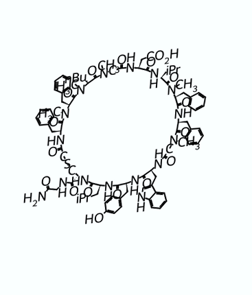 CCCC[C@H]1C(=O)N(C)CC(=O)N[C@@H](CC(=O)O)C(=O)N[C@@H](C(C)C)C(=O)N(C)[C@@H](Cc2ccccc2)C(=O)N[C@@H](Cc2ccccc2)C(=O)N(C)CC(=O)N[C@@H](Cc2c[nH]c3ccccc23)C(=O)N[C@@H](Cc2ccc(O)cc2)C(=O)N[C@@H](CC(C)C)C(=O)N[C@H](C(=O)NCC(N)=O)CSCC(=O)N[C@@H](Cc2ccccc2)C(=O)N(C)[C@@H](Cc2ccccc2)C(=O)N1C